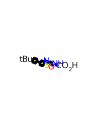 CC(C)(C)c1ccc(-c2ccc3sc(CC(=O)NCC(=O)O)nc3c2)cc1